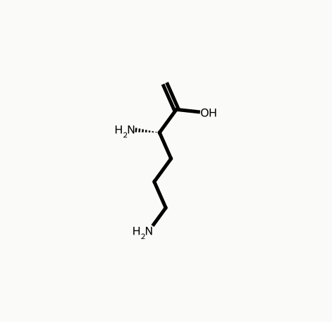 C=C(O)[C@@H](N)CCCN